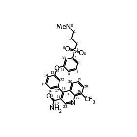 CNCCCS(=O)(=O)c1cccc(Oc2cccc(-c3c(C(N)=O)cnc4c(C(F)(F)F)cccc34)c2)c1